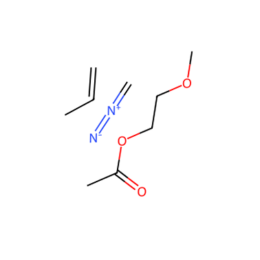 C=CC.C=[N+]=[N-].COCCOC(C)=O